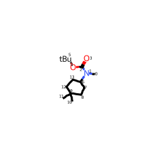 CN(C(=O)OC(C)(C)C)C1CCC(C)(C)CC1